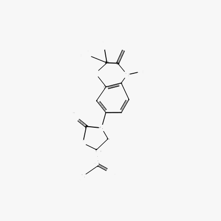 CN1C(=O)C(F)(P)Oc2cc(N3C[C@H](C(N)=O)OC3=O)ccc21